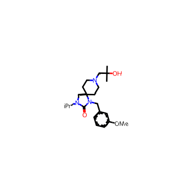 COc1cccc(CN2C(=O)N(C(C)C)CC23CCN(CC(C)(C)O)CC3)c1